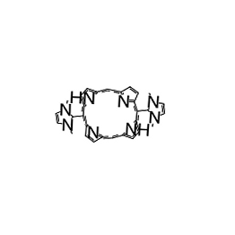 CN1C=CN(C)C1c1c2nc(cc3ccc([nH]3)c(C3N(C)C=CN3C)c3nc(cc4ccc1[nH]4)C=C3)C=C2